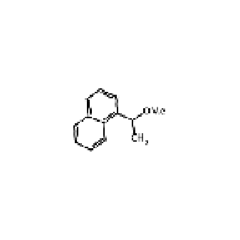 COC(C)c1[c]ccc2ccccc12